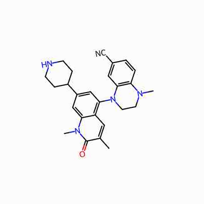 Cc1cc2c(N3CCN(C)c4ccc(C#N)cc43)cc(C3CCNCC3)cc2n(C)c1=O